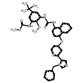 COC(=O)Nc1cc(C(C)(C)C)cc(NC(=O)Nc2ccc(Oc3ccnc(-c4cncn4Cc4ccccc4)c3)c3ccccc23)c1OC